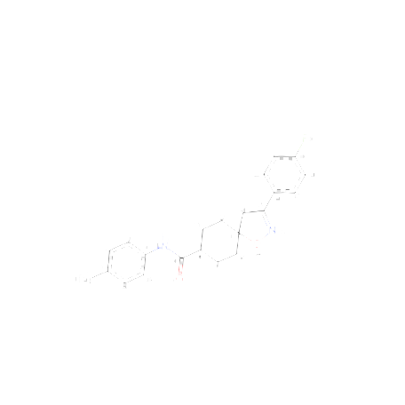 CC(C)(C)c1ccc(NC(=O)C2CCC3(CC2)CC(c2ccc(F)cc2)=NO3)cc1